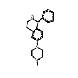 CN1CCN(c2ccc3c(c2)CCNC3c2cccnc2)CC1